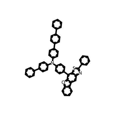 c1ccc(-c2ccc(-c3ccc(N(c4ccc(-c5ccccc5)cc4)c4ccc(-c5c6oc7ccccc7c6cc6nc(-c7ccccc7)sc56)cc4)cc3)cc2)cc1